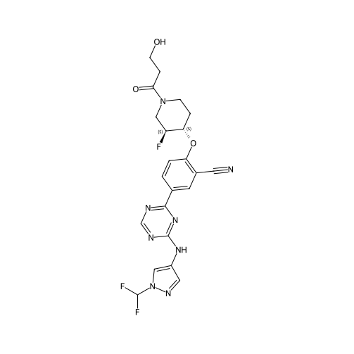 N#Cc1cc(-c2ncnc(Nc3cnn(C(F)F)c3)n2)ccc1O[C@H]1CCN(C(=O)CCO)C[C@@H]1F